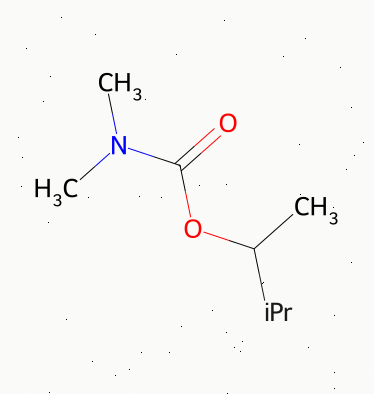 CC(C)C(C)OC(=O)N(C)C